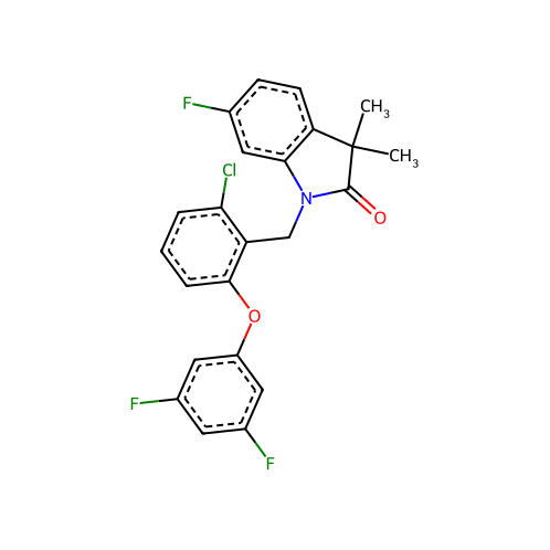 CC1(C)C(=O)N(Cc2c(Cl)cccc2Oc2cc(F)cc(F)c2)c2cc(F)ccc21